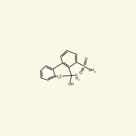 CC(C)(O)c1c(-c2ccccc2)cccc1S(N)(=O)=O